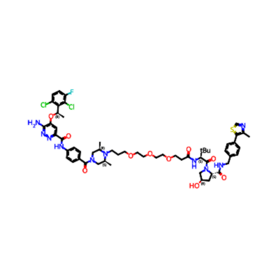 Cc1ncsc1-c1ccc(CNC(=O)[C@@H]2C[C@@H](O)CN2C(=O)[C@@H](NC(=O)CCOCCOCCOCCCN2[C@H](C)CN(C(=O)c3ccc(NC(=O)c4cc(O[C@H](C)c5c(Cl)ccc(F)c5Cl)c(N)nn4)cc3)C[C@@H]2C)C(C)(C)C)cc1